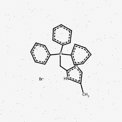 Cc1cnc(C[P+](c2ccccc2)(c2ccccc2)c2ccccc2)[nH]1.[Br-]